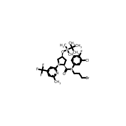 Cc1cc(C(F)(F)F)cc(N2C[C@@H](O[Si](C)(C)C(C)(C)C)C[C@H]2C(=O)N(CCCBr)c2ccc(F)c(Cl)c2)n1